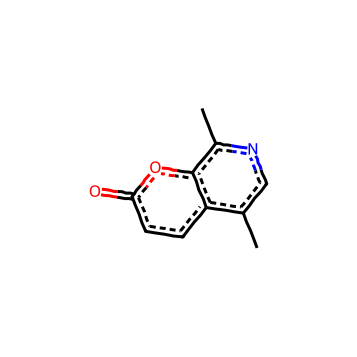 Cc1cnc(C)c2oc(=O)ccc12